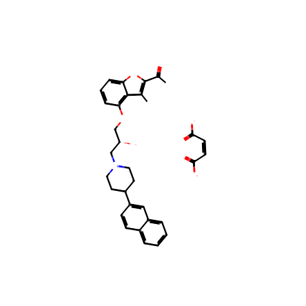 CC(=O)c1oc2cccc(OC[C@@H](O)CN3CCC(c4ccc5ccccc5c4)CC3)c2c1C.O=C(O)/C=C\C(=O)O